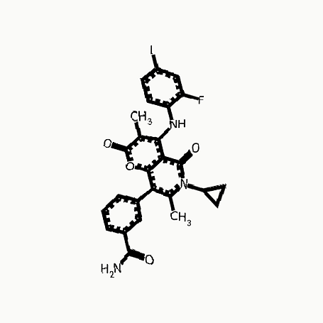 Cc1c(Nc2ccc(I)cc2F)c2c(=O)n(C3CC3)c(C)c(-c3cccc(C(N)=O)c3)c2oc1=O